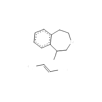 CC1CNCCc2ccccc21.O=C(O)C=CC(=O)O